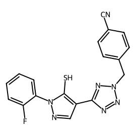 N#Cc1ccc(Cn2nnc(-c3cnn(-c4ccccc4F)c3S)n2)cc1